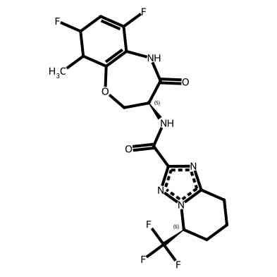 CC1C2=C(NC(=O)[C@@H](NC(=O)c3nc4n(n3)[C@H](C(F)(F)F)CCC4)CO2)C(F)=CC1F